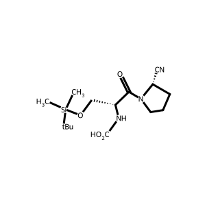 CC(C)(C)[Si](C)(C)OC[C@@H](NC(=O)O)C(=O)N1CCC[C@H]1C#N